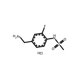 CS(=O)(=O)Nc1ccc(C[AsH2])cc1F.Cl